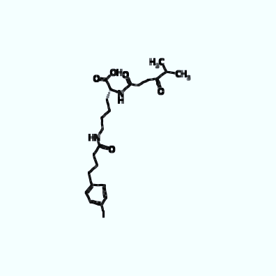 CC(C)C(=O)CCC(=O)N[C@H](CCCCNC(=O)CCCc1ccc(I)cc1)C(=O)O